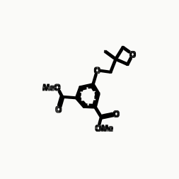 COC(=O)c1cc(OCC2(C)COC2)cc(C(=O)OC)c1